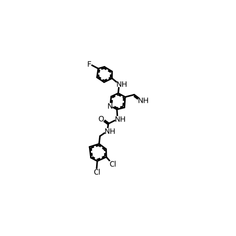 N=Cc1cc(NC(=O)NCc2ccc(Cl)c(Cl)c2)ncc1Nc1ccc(F)cc1